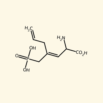 C=CC/C(=C\C(N)C(=O)O)CP(=O)(O)O